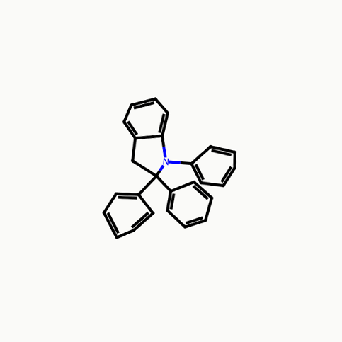 c1ccc(N2c3ccccc3CC2(c2ccccc2)c2ccccc2)cc1